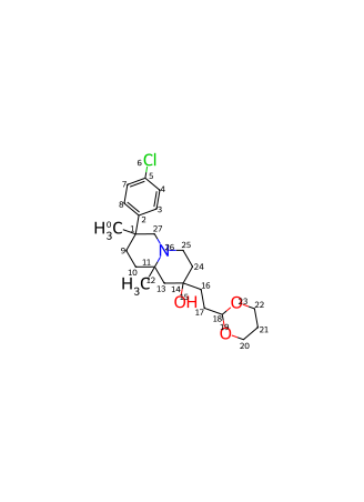 CC1(c2ccc(Cl)cc2)CCC2(C)CC(O)(CCC3OCCCO3)CCN2C1